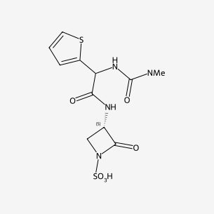 CNC(=O)NC(C(=O)N[C@H]1CN(S(=O)(=O)O)C1=O)c1cccs1